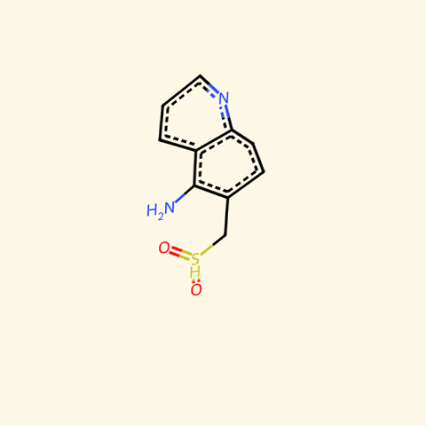 Nc1c(C[SH](=O)=O)ccc2ncccc12